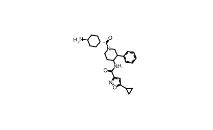 N[C@H]1CC[C@H](C(=O)N2CCC(NC(=O)c3cc(C4CC4)on3)C(c3ccccc3)C2)CC1